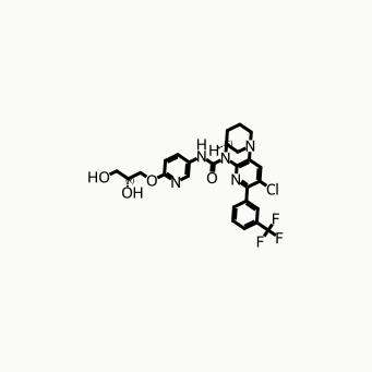 O=C(Nc1ccc(OC[C@H](O)CO)nc1)N1c2nc(-c3cccc(C(F)(F)F)c3)c(Cl)cc2N2CCC[C@H]1C2